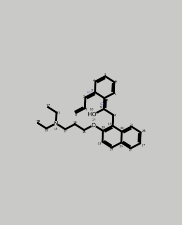 C=C/C=c1/cccc/c1=C(/O)Cc1c(OCCCN(CC)CC)ccc2ccccc12